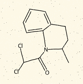 CC1CCc2ccccc2N1C(=O)C(Cl)Cl